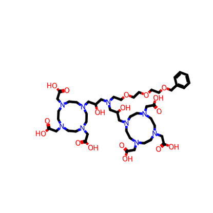 O=C(O)CN1CCN(CC(=O)O)CCN(CC(O)CN(CCOCCOCCOCc2ccccc2)CC(O)CN2CCN(CC(=O)O)CCN(CC(=O)O)CCN(CC(=O)O)CC2)CCN(CC(=O)O)CC1